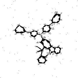 CC1(C)c2ccccc2-n2c3ccccc3c3cc(N(c4ccc(-c5ccccc5)cc4)c4ccc(-c5ccccc5)cc4)cc1c32